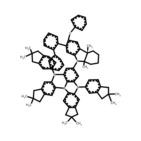 CC1(C)Cc2ccc(N3c4cc5c(cc4B4c6cc7c(cc6N(c6ccc8c(c6)CC(C)(C)C8)c6cc(N8c9cc(-c%10ccccc%10-c%10ccccc%10)c(Sc%10ccccc%10)cc9[C@]9(C)CCCCC89C)cc3c64)CC(C)(C)C7)CC(C)(C)C5)cc2C1